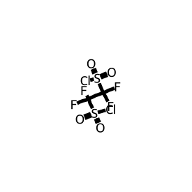 O=S(=O)(Cl)C(F)(F)C(F)(F)S(=O)(=O)Cl